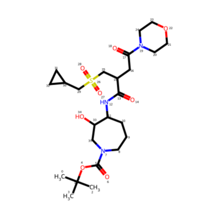 CC(C)(C)OC(=O)N1CCCC(NC(=O)C(CC(=O)N2CCOCC2)CS(=O)(=O)CC2CC2)C(O)C1